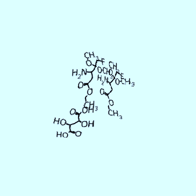 CCOC(=O)CC(N)C(CF)(OC)OC.CCOC(=O)CC(N)C(CF)(OC)OC.O=C(O)C(O)C(O)C(=O)O